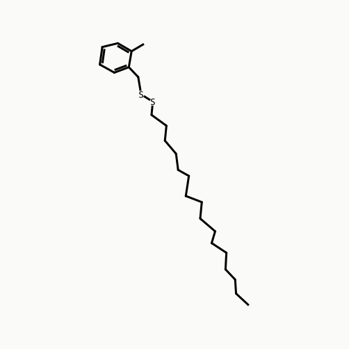 CCCCCCCCCCCCCCCCSSCc1ccccc1C